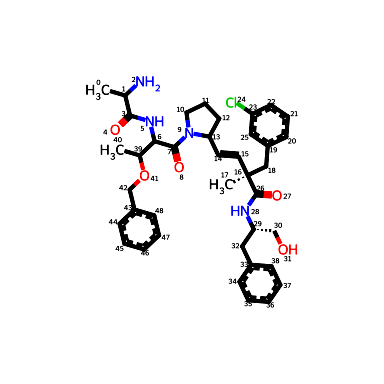 CC(N)C(=O)NC(C(=O)N1CCCC1/C=C/[C@@](C)(Cc1cccc(Cl)c1)C(=O)N[C@H](CO)Cc1ccccc1)C(C)OCc1ccccc1